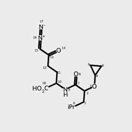 CC(C)CC(OC1CC1)C(=O)NC(CCC(=O)C=[N+]=[N-])C(=O)O